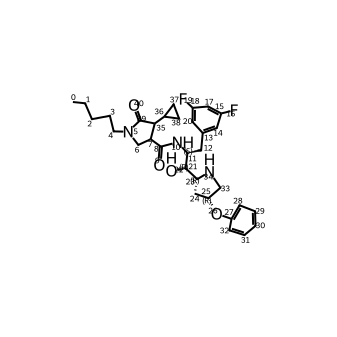 CCCCCN1CC(C(=O)N[C@@H](Cc2cc(F)cc(F)c2)[C@H](O)[C@H]2C[C@@H](Oc3ccccc3)CN2)C(C2CC2)C1=O